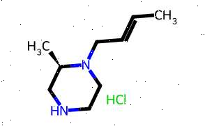 CC=CCN1CCNC[C@H]1C.Cl